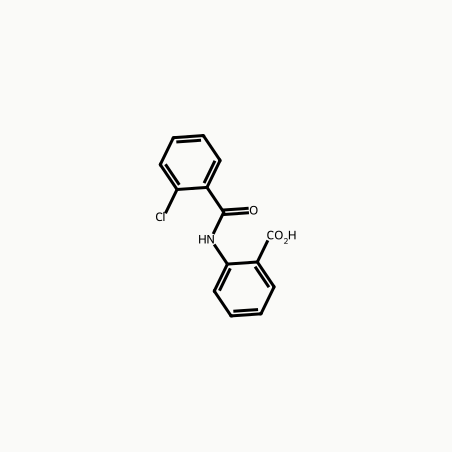 O=C(Nc1ccccc1C(=O)O)c1ccccc1Cl